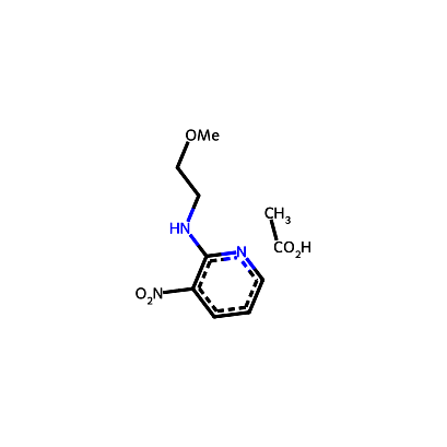 CC(=O)O.COCCNc1ncccc1[N+](=O)[O-]